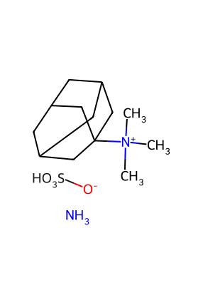 C[N+](C)(C)C12CC3CC(CC(C3)C1)C2.N.O=S(=O)([O-])O